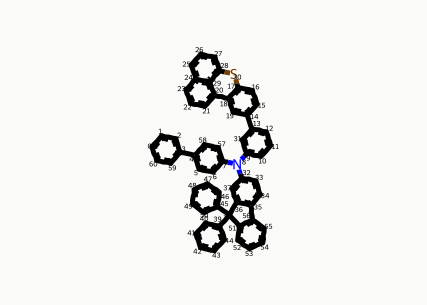 c1ccc(-c2ccc(N(c3cccc(-c4ccc5c(c4)-c4cccc6cccc(c46)S5)c3)c3ccc4c(c3)C(c3ccccc3)(c3ccccc3)c3ccccc3-4)cc2)cc1